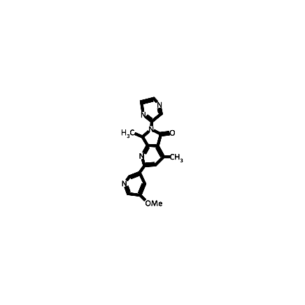 COc1cncc(-c2cc(C)c3c(n2)C(C)N(c2cnccn2)C3=O)c1